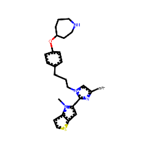 CCCc1cn(CCCc2ccc(OC3CCCNCC3)cc2)c(-c2cc3sccc3n2C)n1